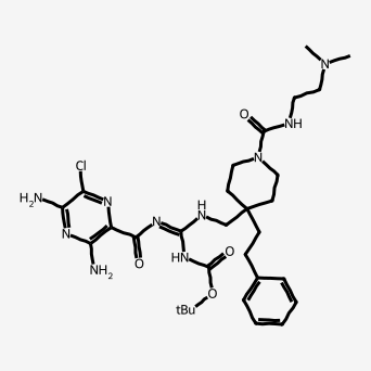 CN(C)CCNC(=O)N1CCC(CCc2ccccc2)(CN/C(=N/C(=O)c2nc(Cl)c(N)nc2N)NC(=O)OC(C)(C)C)CC1